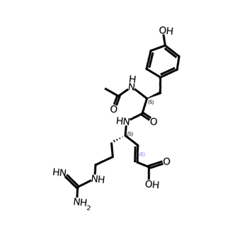 CC(=O)N[C@@H](Cc1ccc(O)cc1)C(=O)N[C@H](/C=C/C(=O)O)CCCNC(=N)N